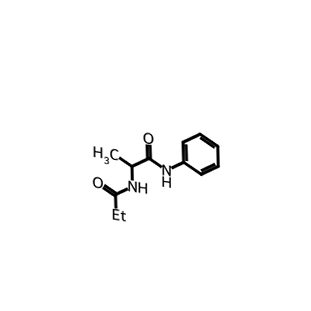 CCC(=O)NC(C)C(=O)Nc1ccccc1